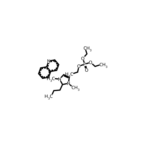 CCCC1N(C)C=CN1C.CCOP(=O)(OCC)OCC.c1ccc2ncccc2c1